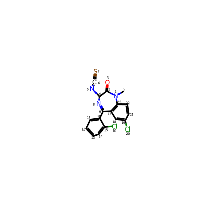 CN1C(=O)C(N=C=S)N=C(c2ccccc2Cl)c2cc(Cl)ccc21